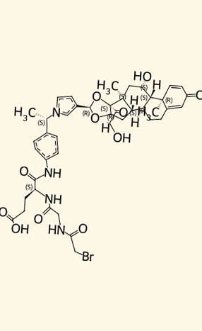 C[C@@H](c1ccc(NC(=O)[C@H](CCC(=O)O)NC(=O)CNC(=O)CBr)cc1)n1ccc([C@@H]2O[C@@H]3C[C@H]4[C@@H]5CCC6=CC(=O)C=C[C@]6(C)[C@H]5[C@@H](O)C[C@]4(C)[C@]3(C(=O)CO)O2)c1